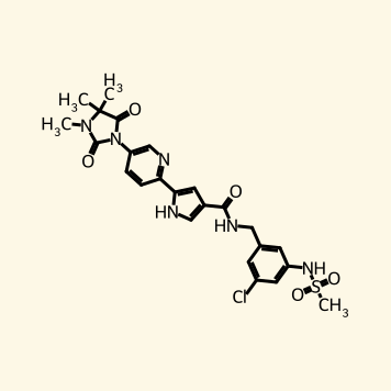 CN1C(=O)N(c2ccc(-c3cc(C(=O)NCc4cc(Cl)cc(NS(C)(=O)=O)c4)c[nH]3)nc2)C(=O)C1(C)C